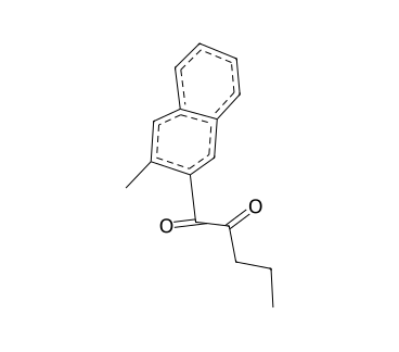 CCCC(=O)C(=O)c1cc2ccccc2cc1C